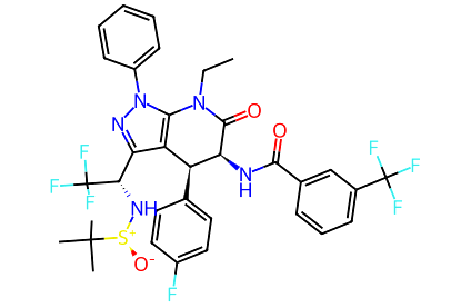 CCN1C(=O)[C@@H](NC(=O)c2cccc(C(F)(F)F)c2)[C@@H](c2ccc(F)cc2)c2c([C@H](N[S@@+]([O-])C(C)(C)C)C(F)(F)F)nn(-c3ccccc3)c21